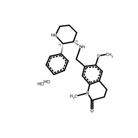 COc1cc2c(cc1CN[C@H]1CCCN[C@H]1c1ccccc1)N(C)C(=O)CC2.Cl.Cl